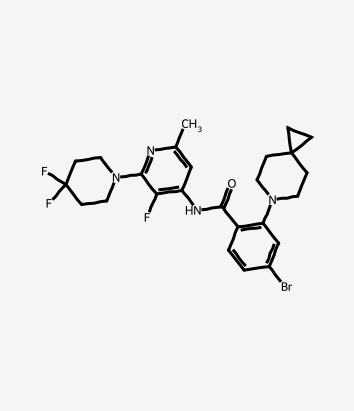 Cc1cc(NC(=O)c2ccc(Br)cc2N2CCC3(CC2)CC3)c(F)c(N2CCC(F)(F)CC2)n1